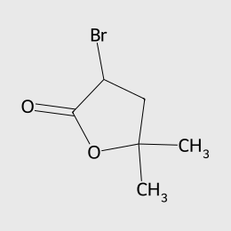 CC1(C)CC(Br)C(=O)O1